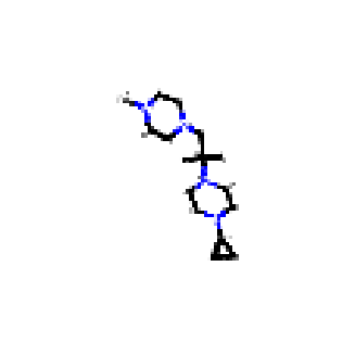 CC(C)N1CCN(CC(C)(C)N2CCN(C3CC3)CC2)CC1